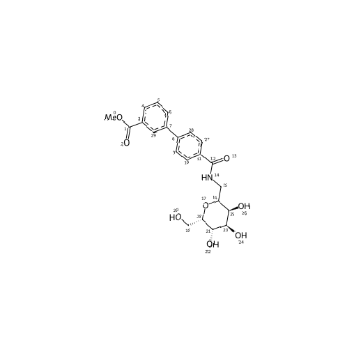 COC(=O)c1cccc(-c2ccc(C(=O)NCC3O[C@@H](CO)[C@@H](O)[C@H](O)[C@@H]3O)cc2)c1